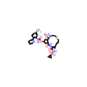 CN1CCCC/C=C/C2CC2(C(=O)NS(=O)(=O)C2CC2)NC(=O)C2CC(OC(=O)Nc3cc(C(F)(F)F)ccc3-c3ccccn3)CC2C1=O